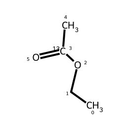 CCO[13C](C)=O